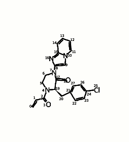 C=CC(=O)N1CCN(c2cn3ccccc3n2)C(=O)[C@H]1Cc1ccc(Cl)cc1